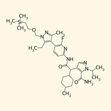 CCc1c(-c2ccc(NC(=O)C(c3cnn(C(C)C)c3C(N)=O)C3CCC(C)CC3)nc2F)c(C)nn1COCC[Si](C)(C)C